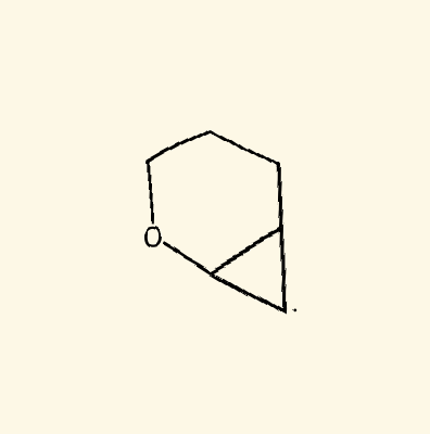 [CH]1C2CCCOC12